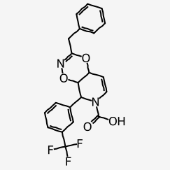 O=C(O)N1C=CC2OC(Cc3ccccc3)=NOC2C1c1cccc(C(F)(F)F)c1